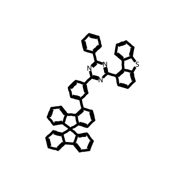 c1ccc(-c2nc(-c3cccc(-c4cccc5c4-c4ccccc4C54c5ccccc5-c5ccccc54)c3)nc(-c3cccc4sc5ccccc5c34)n2)cc1